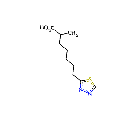 CC(CCCCCc1nncs1)C(=O)O